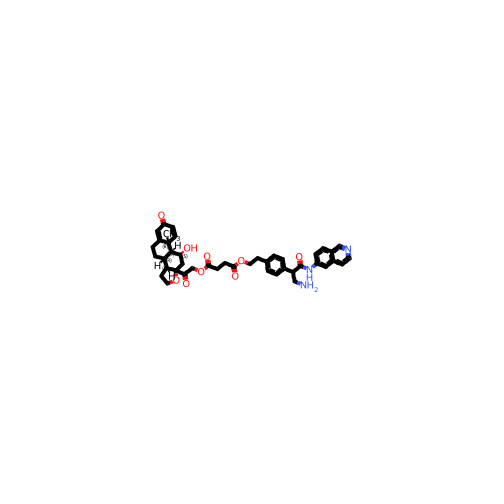 C[C@]12C=CC(=O)C=C1CC[C@@H]1[C@@H]2[C@@H](O)CC2(C(=O)COC(=O)CCC(=O)OCCc3ccc(C(CN)C(=O)Nc4ccc5cnccc5c4)cc3)OCC[C@@H]12